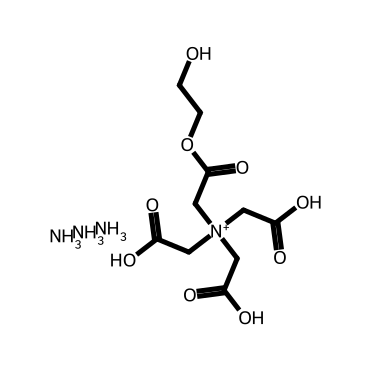 N.N.N.O=C(O)C[N+](CC(=O)O)(CC(=O)O)CC(=O)OCCO